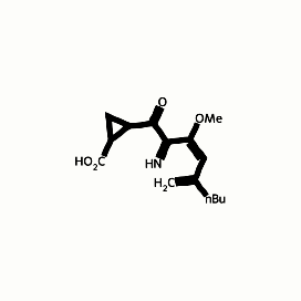 C=C(/C=C(/OC)C(=N)C(=O)C1CC1C(=O)O)CCCC